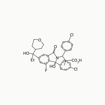 CCC(O)(c1cc(F)c2c(c1)C(=O)N(C(c1ccc(Cl)cc1)C(C)C(=O)O)[C@]2(O)c1ccc(Cl)cc1)C1CCOCC1